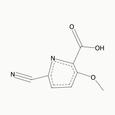 COc1ccc(C#N)nc1C(=O)O